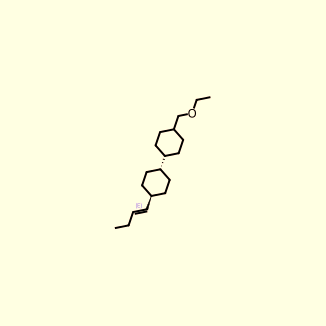 CC/C=C/[C@H]1CC[C@H](C2CCC(COCC)CC2)CC1